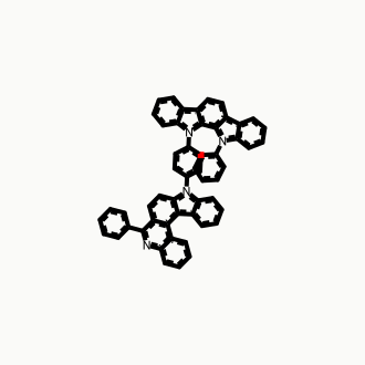 c1ccc(-c2nc3ccccc3c3c2ccc2c3c3ccccc3n2-c2ccc(-n3c4ccccc4c4ccc5c6ccccc6n(-c6ccccc6)c5c43)cc2)cc1